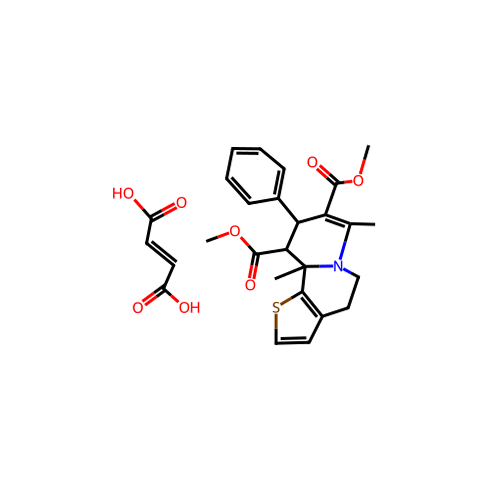 COC(=O)C1=C(C)N2CCc3ccsc3C2(C)C(C(=O)OC)C1c1ccccc1.O=C(O)C=CC(=O)O